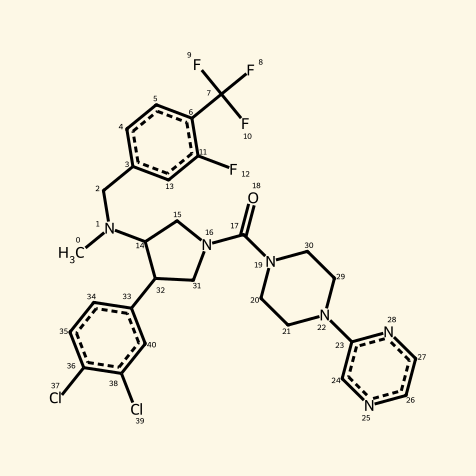 CN(Cc1ccc(C(F)(F)F)c(F)c1)C1CN(C(=O)N2CCN(c3cnccn3)CC2)CC1c1ccc(Cl)c(Cl)c1